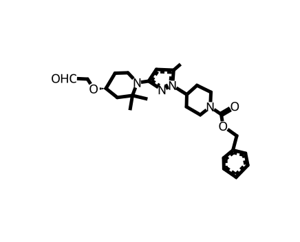 Cc1cc(N2CC[C@@H](OCC=O)CC2(C)C)nn1C1CCN(C(=O)OCc2ccccc2)CC1